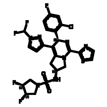 O=S(=O)(N[C@H]1CC2=C(c3ccn(C(F)F)n3)[C@H](c3ccc(F)cc3Cl)N=C(c3nccs3)N2C1)N1C[C@@H](F)[C@@H](F)C1